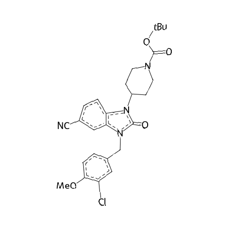 COc1ccc(Cn2c(=O)n(C3CCN(C(=O)OC(C)(C)C)CC3)c3ccc(C#N)cc32)cc1Cl